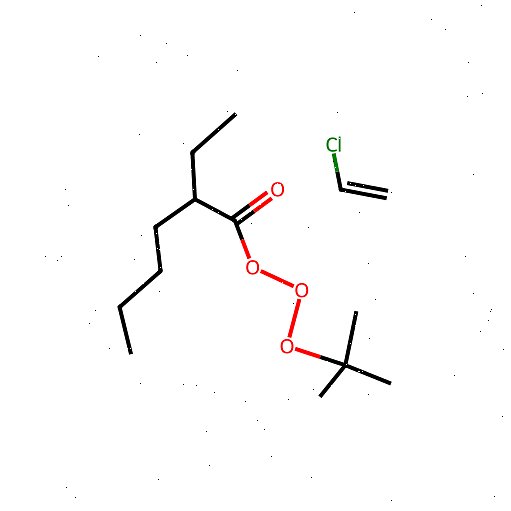 C=CCl.CCCCC(CC)C(=O)OOOC(C)(C)C